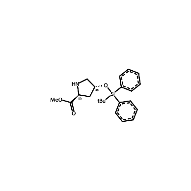 COC(=O)[C@@H]1C[C@@H](O[Si](c2ccccc2)(c2ccccc2)C(C)(C)C)CN1